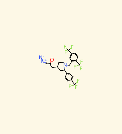 [N-]=[N+]=CC(=O)CC1CCN(Cc2cc(C(F)(F)F)ccc2C(F)(F)F)C(c2ccc(C(F)(F)F)cc2)C1